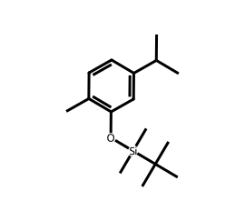 Cc1ccc(C(C)C)cc1O[Si](C)(C)C(C)(C)C